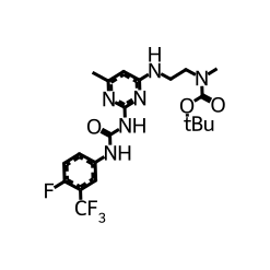 Cc1cc(NCCN(C)C(=O)OC(C)(C)C)nc(NC(=O)Nc2ccc(F)c(C(F)(F)F)c2)n1